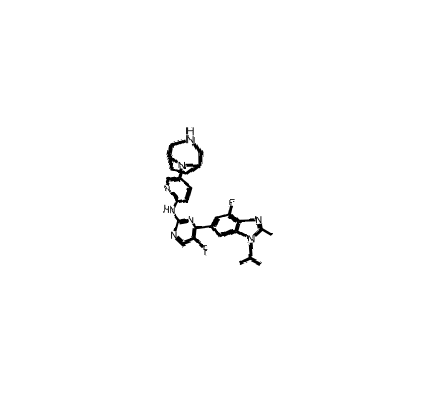 Cc1nc2c(F)cc(-c3nc(Nc4ccc(N5C6CCC5CNC6)cn4)ncc3F)cc2n1C(C)C